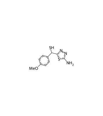 COc1ccc(C(S)c2nnc(N)s2)cc1